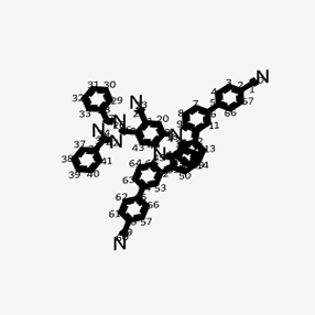 N#Cc1ccc(-c2ccc3c(c2)c2ccccc2n3-c2cc(C#N)c(-c3nc(-c4ccccc4)nc(-c4ccccc4)n3)cc2-n2c3ccccc3c3cc(-c4ccc(C#N)cc4)ccc32)cc1